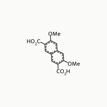 COc1cc2cc(OC)c(C(=O)O)cc2cc1C(=O)O